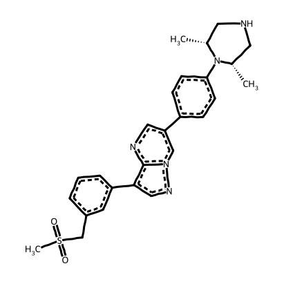 C[C@@H]1CNC[C@H](C)N1c1ccc(-c2cnc3c(-c4cccc(CS(C)(=O)=O)c4)cnn3c2)cc1